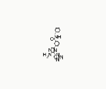 CN(C)c1nccc(-c2nc(-c3cccc(C(=O)NCc4ccccc4)c3)cnc2N)n1